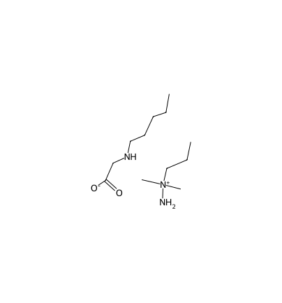 CCCCCNCC(=O)[O-].CCC[N+](C)(C)N